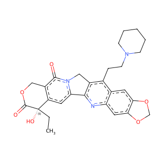 CC[C@@]1(O)C(=O)OCc2c1cc1n(c2=O)Cc2c-1nc1cc3c(cc1c2CCN1CCCCC1)OCO3